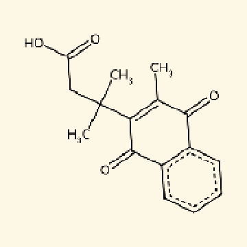 CC1=C(C(C)(C)CC(=O)O)C(=O)c2ccccc2C1=O